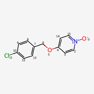 [O-][n+]1ccc(OCc2ccc(Cl)cc2)cc1